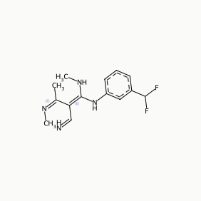 C/N=C(C)\C(C=N)=C(/NC)Nc1cccc(C(F)F)c1